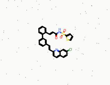 O=C(/C=C/c1ccccc1-c1cccc(C=Cc2ccc3ccc(Cl)cc3n2)c1)NS(=O)(=O)c1cccs1